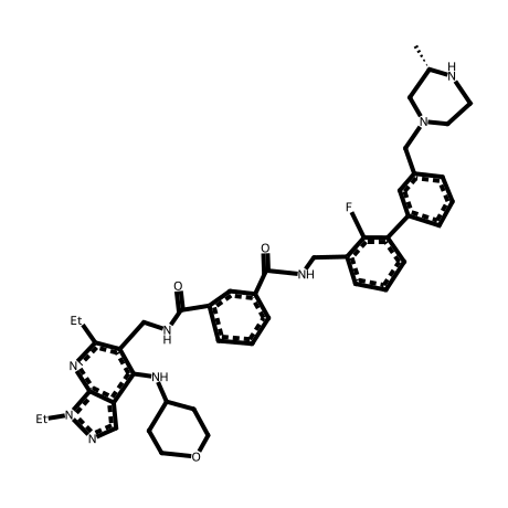 CCc1nc2c(cnn2CC)c(NC2CCOCC2)c1CNC(=O)c1cccc(C(=O)NCc2cccc(-c3cccc(CN4CCN[C@@H](C)C4)c3)c2F)c1